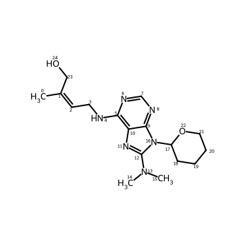 CC(=CCNc1ncnc2c1nc(N(C)C)n2C1CCCCO1)CO